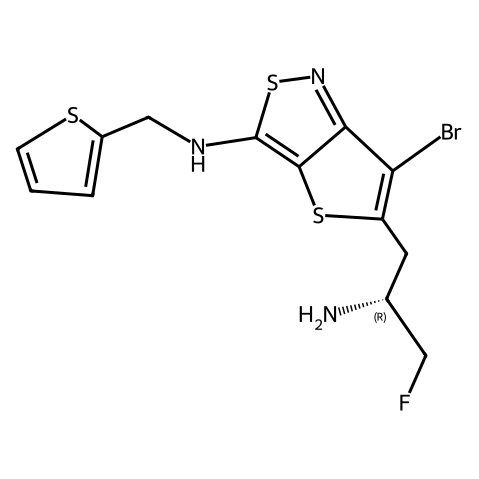 N[C@@H](CF)Cc1sc2c(NCc3cccs3)snc2c1Br